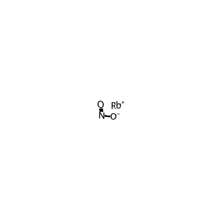 O=N[O-].[Rb+]